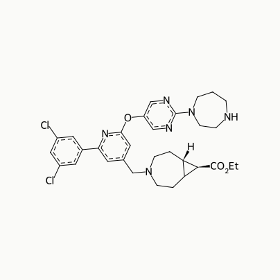 CCOC(=O)[C@H]1C2CCN(Cc3cc(Oc4cnc(N5CCCNCC5)nc4)nc(-c4cc(Cl)cc(Cl)c4)c3)CC[C@@H]21